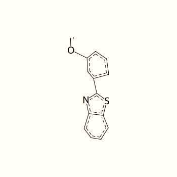 [CH2]Oc1cccc(-c2nc3ccccc3s2)c1